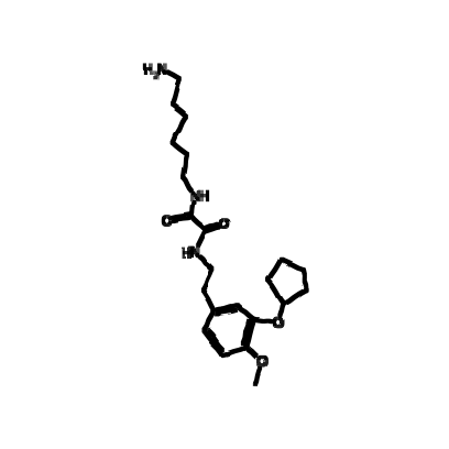 COc1ccc(CCNC(=O)C(=O)NCCCCCCN)cc1OC1CCCC1